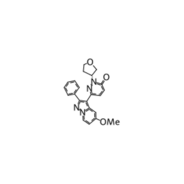 COc1ccn2nc(-c3ccccc3)c(-c3ccc(=O)n([C@@H]4CCOC4)n3)c2c1